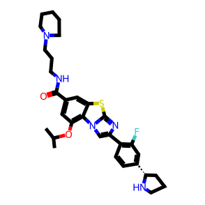 CC(C)Oc1cc(C(=O)NCCCN2CCCCC2)cc2sc3nc(-c4ccc([C@@H]5CCCN5)cc4F)cn3c12